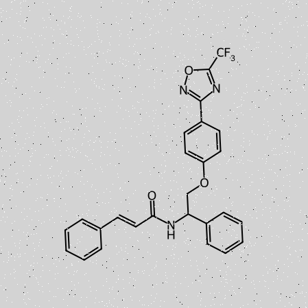 O=C(/C=C/c1ccccc1)NC(COc1ccc(-c2noc(C(F)(F)F)n2)cc1)c1ccccc1